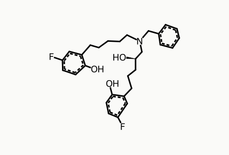 Oc1ccc(F)cc1CCCCCN(Cc1ccccc1)C[C@H](O)CCCc1cc(F)ccc1O